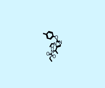 CCn1c(C(C)NS(=O)(=O)CC)cnc1Oc1ccc(C)cc1